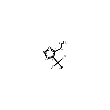 CSc1ocnc1C(F)(F)F